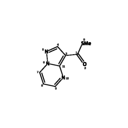 CSC(=O)c1cnn2cccnc12